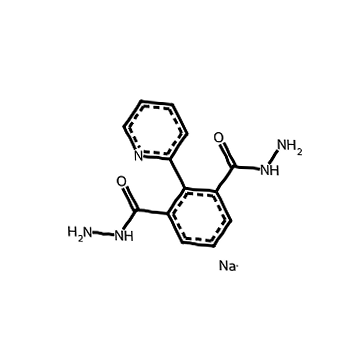 NNC(=O)c1cccc(C(=O)NN)c1-c1ccccn1.[Na]